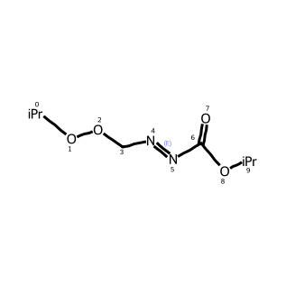 CC(C)OOC/N=N/C(=O)OC(C)C